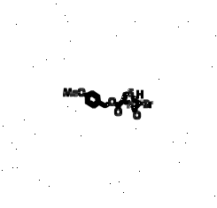 COc1ccc(COC(=O)C2=CS[C@H]3[C@@H](Br)C(=O)N23)cc1